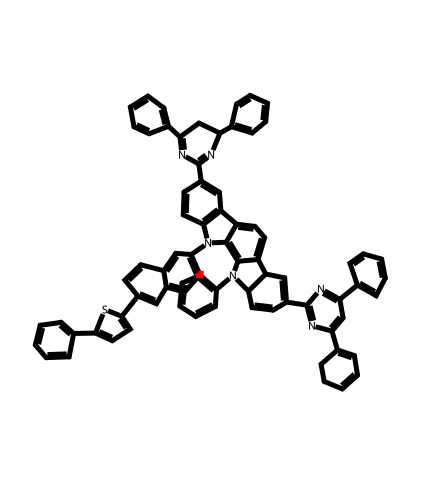 C1=CCCC(c2cc(-c3ccccc3)nc(C3=CC4c5ccc6c7cc(C8=NC(c9ccccc9)CC(c9ccccc9)=N8)ccc7n(-c7ccc8cc(-c9ccc(-c%10ccccc%10)s9)ccc8c7)c6c5N(c5ccccc5)C4C=C3)n2)=C1